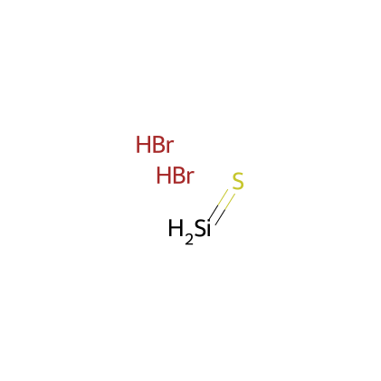 Br.Br.[SiH2]=S